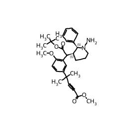 COC(=O)C#CC(C)(C)c1ccc(OC)c(C(C(=O)OC(C)(C)C)[C@@H]2CCCN(N)[C@@H]2c2ccccc2)c1